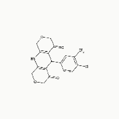 O=C1COCC2=C1C(c1ccc(Cl)c(C(F)(F)F)c1)C1=C(COCC1=O)N2